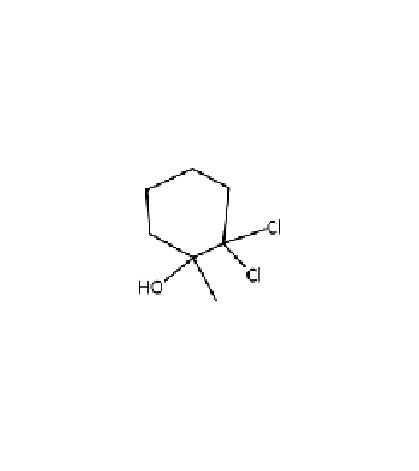 CC1(O)CCCCC1(Cl)Cl